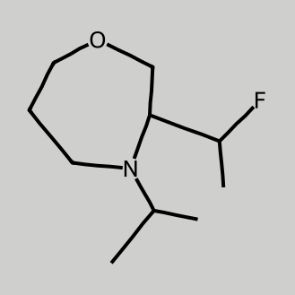 CC(F)C1COCCCN1C(C)C